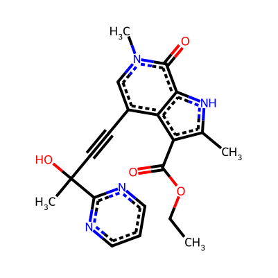 CCOC(=O)c1c(C)[nH]c2c(=O)n(C)cc(C#CC(C)(O)c3ncccn3)c12